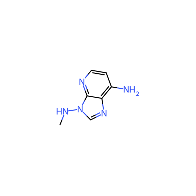 CNn1cnc2c(N)ccnc21